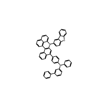 c1ccc(-c2cccc(N(c3ccccc3)c3ccc(-c4cc5c(c6ccccc46)-c4cccc6cccc(c46)N5c4ccc5sc6ccccc6c5c4)cc3)c2)cc1